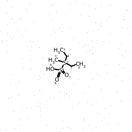 CCS(C)(CC)S(=O)(=O)O